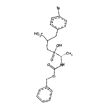 C[C@H](NC(=O)OCc1ccccc1)P(=O)(O)CC(Cc1ccc(Br)cc1)C(=O)O